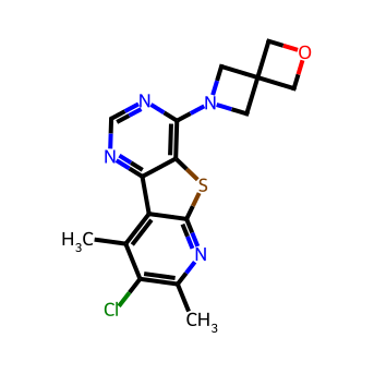 Cc1nc2sc3c(N4CC5(COC5)C4)ncnc3c2c(C)c1Cl